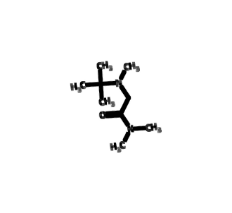 CN(C)C(=O)CN(C)C(C)(C)C